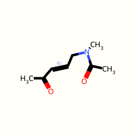 CC(=O)/C=C/CN(C)C(C)=O